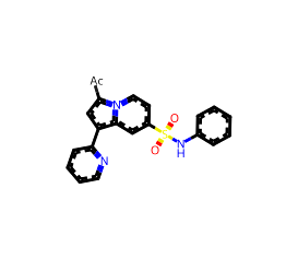 CC(=O)c1cc(-c2ccccn2)c2cc(S(=O)(=O)Nc3ccccc3)ccn12